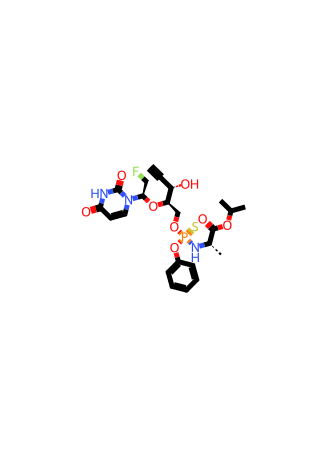 C#C[C@H](O)[C@@H](COP(=S)(N[C@@H](C)C(=O)OC(C)C)Oc1ccccc1)O[C@H](CF)n1ccc(=O)[nH]c1=O